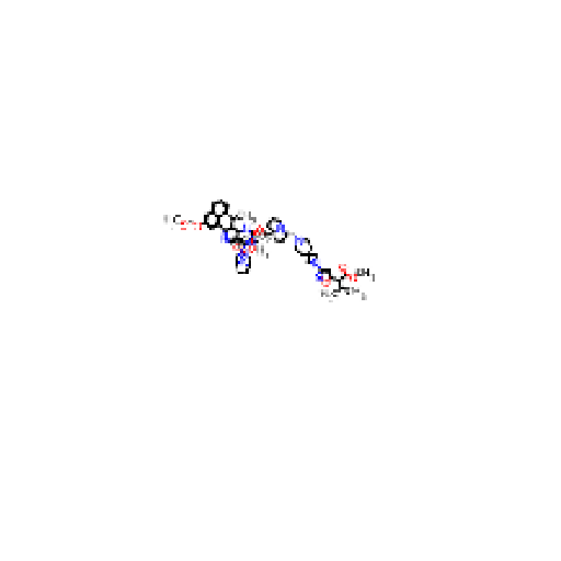 COCOc1cc2c3c(cccc3c1)C(C)c1c-2ncc2c(N3CC4CCC(C3)N4C(=O)OC(C)(C)C)nc(OC[C@@]34CCCN3[C@H](CN3CCC5(CC3)CN(c3cc(C(C(=O)OC)C(C)C)on3)C5)CC4)nc12